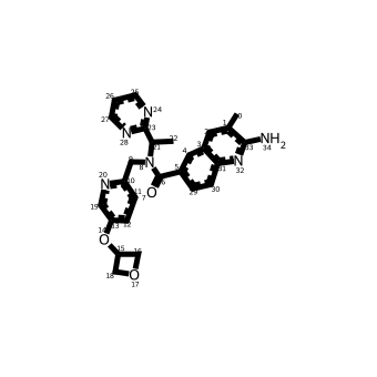 Cc1cc2cc(C(=O)N(Cc3ccc(OC4COC4)cn3)C(C)c3ncccn3)ccc2nc1N